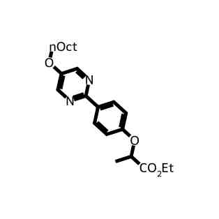 CCCCCCCCOc1cnc(-c2ccc(OC(C)C(=O)OCC)cc2)nc1